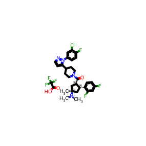 CN(C)[C@]1(C)C[C@@H](C(=O)N2CCC(c3ccnn3-c3ccc(F)c(Cl)c3)CC2)[C@H](c2ccc(F)cc2F)C1.O=C(O)C(F)(F)F